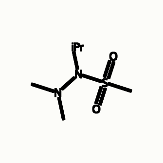 CC(C)N(N(C)C)S(C)(=O)=O